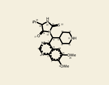 COc1cc2ncnc(C(C3CCNCC3)N3C(=O)C(C(C)C)NC3=S)c2cc1OC